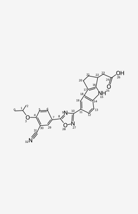 CC(C)Oc1ccc(-c2nc(-c3ccc4[nH]c5c(c4c3)CCC5CC(=O)O)no2)cc1C#N